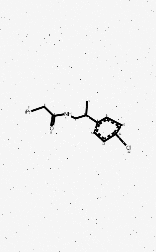 [CH2]C(CNC(=O)CC(C)C)c1ccc(Cl)cc1